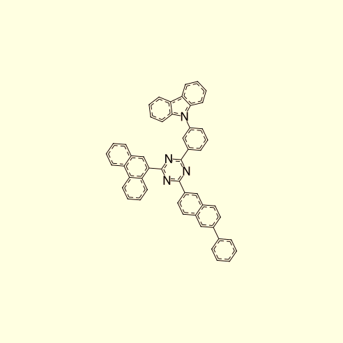 c1ccc(-c2ccc3cc(-c4nc(-c5cccc(-n6c7ccccc7c7ccccc76)c5)nc(-c5cc6ccccc6c6ccccc56)n4)ccc3c2)cc1